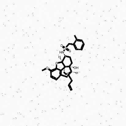 C=CCN1CC[C@]23c4c5ccc(OC)c4O[C@H]2[C@H](NS(=O)(=O)Cc2ccccc2C)CC[C@@]3(O)[C@H]1C5